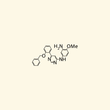 COc1ccc(Nc2cc(-c3ccccc3OCc3ccccc3)ncn2)cc1N